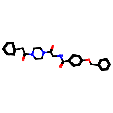 O=C(NCC(=O)N1CCN(C(=O)Cc2ccccc2)CC1)c1ccc(OCc2ccccc2)cc1